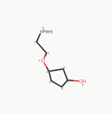 CCCCCCCOC1CCC(O)C1